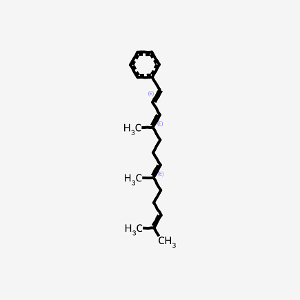 CC(C)=CCC/C(C)=C/CC/C(C)=C/C=C/c1ccccc1